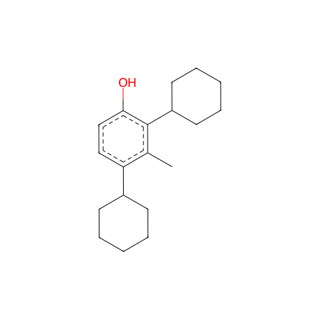 Cc1c(C2CCCCC2)ccc(O)c1C1CCCCC1